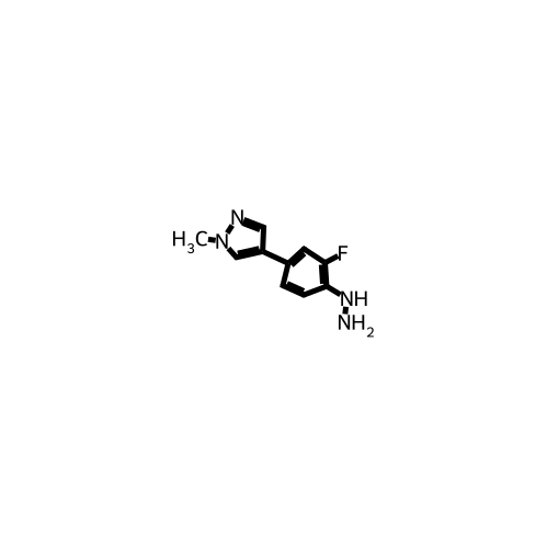 Cn1cc(-c2ccc(NN)c(F)c2)cn1